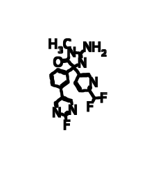 CN1C(=O)C(c2ccc(C(F)F)nc2)(c2cccc(-c3cnc(F)nc3)c2)N=C1N